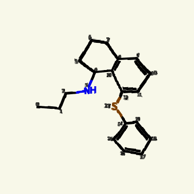 CCCNC1CCCc2cccc(Sc3ccccc3)c21